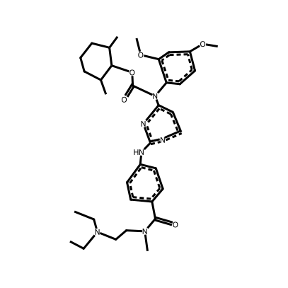 CCN(CC)CCN(C)C(=O)c1ccc(Nc2nccc(N(C(=O)OC3C(C)CCCC3C)c3ccc(OC)cc3OC)n2)cc1